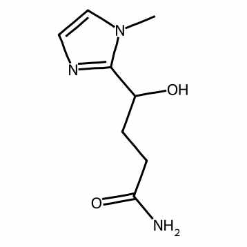 Cn1ccnc1C(O)CCC(N)=O